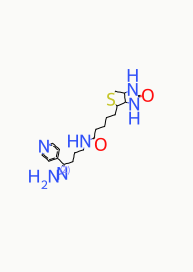 N/N=C(/CCCNC(=O)CCCCC1SCC2NC(=O)NC21)c1ccncc1